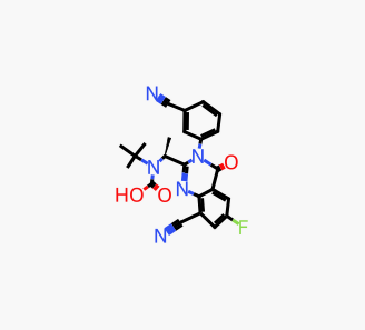 C[C@@H](c1nc2c(C#N)cc(F)cc2c(=O)n1-c1cccc(C#N)c1)N(C(=O)O)C(C)(C)C